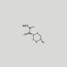 CON(C)C(=O)[C@H]1CC[C@@H](C)CC1